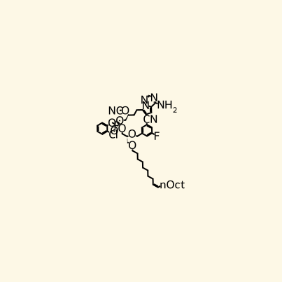 CCCCCCCC/C=C\CCCCCCCCOC[C@H](COP(=O)(OC[C@H](CCc1ccc2c(N)ncnn12)OC#N)Oc1ccccc1Cl)OCc1cc(F)cc(C#N)c1